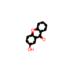 O=c1c2ccccc2oc2ccc(O)cc12